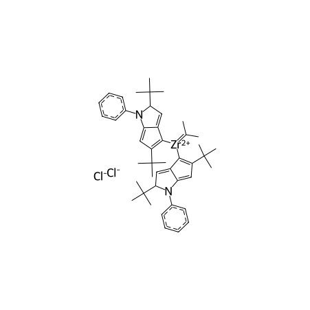 C[C](C)=[Zr+2]([C]1=C(C(C)(C)C)C=C2C1=CC(C(C)(C)C)N2c1ccccc1)[C]1=C(C(C)(C)C)C=C2C1=CC(C(C)(C)C)N2c1ccccc1.[Cl-].[Cl-]